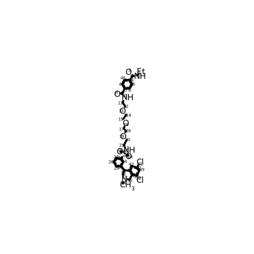 CCNC(=O)c1ccc(C(=O)NCCOCCOCCOCCNS(=O)(=O)c2cccc(C3CN(C)Cc4c(Cl)cc(Cl)cc43)c2)cc1